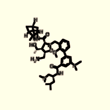 COc1c(CN2O[C@@H](CN)[C@@H]([C@H](C)O)[C@H]2C(=O)N[C@H]2C[C@H]3C[C@@H]([C@@H]2C)C3(C)C)cccc1-c1cc(C(=O)N[C@@H](CC(C)C)CN(C)C)cc(N(C)C)c1